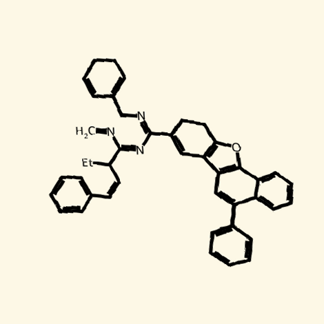 C=N/C(=N\C(=N/CC1=CCCC=C1)C1=Cc2c(oc3c2cc(-c2ccccc2)c2ccccc23)CC1)C(/C=C\c1ccccc1)CC